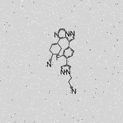 N#CCCn1cc(-c2ccc(-c3cnn4ccnc(C5=CCC(C#N)CC5)c34)cc2F)cn1